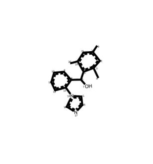 Cc1cc(C)c(C(O)c2ccccc2-n2ccnc2)c(C)c1